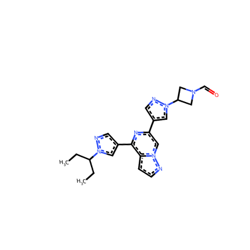 CCC(CC)n1cc(-c2nc(-c3cnn(C4CN(C=O)C4)c3)cn3nccc23)cn1